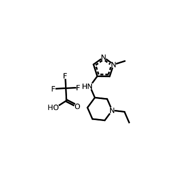 CCN1CCCC(Nc2cnn(C)c2)C1.O=C(O)C(F)(F)F